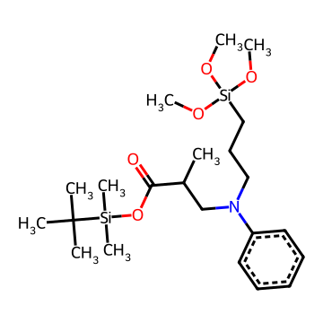 CO[Si](CCCN(CC(C)C(=O)O[Si](C)(C)C(C)(C)C)c1ccccc1)(OC)OC